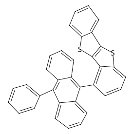 c1ccc(-c2c3ccccc3c(-c3cccc4sc5c6ccccc6sc5c34)c3ccccc23)cc1